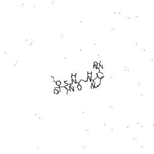 CCCOC1(c2sc(NC(=O)CCNc3nccc4ccc(-c5noc(C)n5)cc34)nc2C)COC1